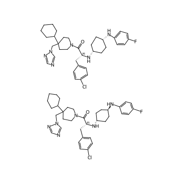 O=C([C@@H](Cc1ccc(Cl)cc1)N[C@H]1CC[C@@H](Nc2ccc(F)cc2)CC1)N1CCC(Cn2cncn2)(C2CCCCC2)CC1.O=C([C@@H](Cc1ccc(Cl)cc1)N[C@H]1CC[C@H](Nc2ccc(F)cc2)CC1)N1CCC(Cn2cncn2)(C2CCCCC2)CC1